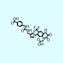 O=C(O)Cn1c(=O)c(=O)[nH]c2cc(C(F)(F)F)c(-n3ccc(CNC(=O)Nc4ccc(C(=O)O)cc4)c3)cc21